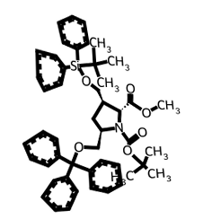 COC(=O)[C@H]1[C@H](CO[Si](c2ccccc2)(c2ccccc2)C(C)(C)C)C[C@H](COC(c2ccccc2)(c2ccccc2)c2ccccc2)N1C(=O)OC(C)(C)C